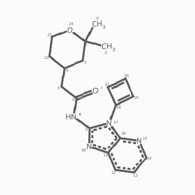 CC1(C)CC(CC(=O)Nc2nc3cccnc3n2C2=CC=C2)CCO1